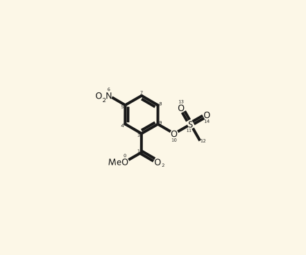 COC(=O)c1cc([N+](=O)[O-])ccc1OS(C)(=O)=O